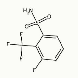 NS(=O)(=O)c1cccc(F)c1C(F)(F)F